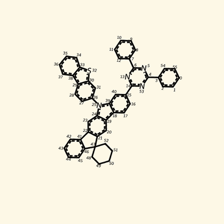 c1ccc(-c2nc(-c3ccccc3)nc(-c3ccc4c5cc6c(cc5n(-c5ccc7c(c5)sc5ccccc57)c4c3)-c3ccccc3C63CCCCC3)n2)cc1